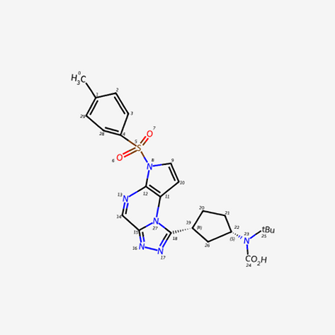 Cc1ccc(S(=O)(=O)n2ccc3c2ncc2nnc([C@@H]4CC[C@H](N(C(=O)O)C(C)(C)C)C4)n23)cc1